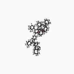 c1ccc(-c2cc(-c3ccc(N(c4ccccc4)c4ccc5oc6ccccc6c5c4)cc3)cc3c2-c2cccc4c2C3(c2ccccc2)c2ccccc2N4c2ccccc2)cc1